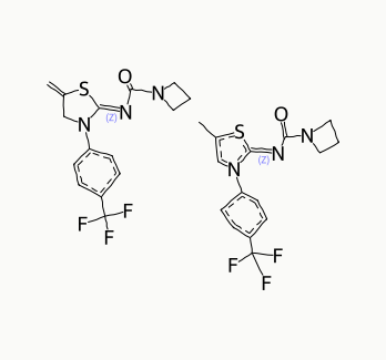 C=C1CN(c2ccc(C(F)(F)F)cc2)/C(=N/C(=O)N2CCC2)S1.Cc1cn(-c2ccc(C(F)(F)F)cc2)/c(=N/C(=O)N2CCC2)s1